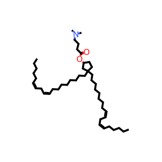 CCCCC/C=C\C/C=C\CCCCCCCCC1(CCCCCCCC/C=C\C/C=C\CCCCC)CCC(OC(=O)CCCN(C)C)C1